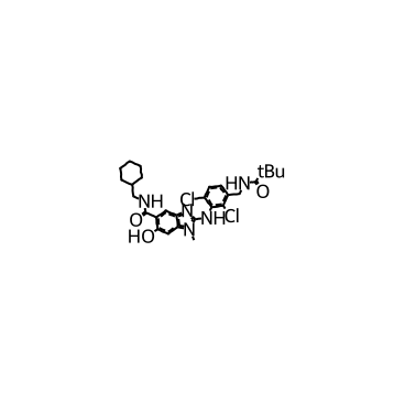 Cn1c(Nc2c(Cl)ccc(CNC(=O)C(C)(C)C)c2Cl)nc2cc(C(=O)NCC3CCCCC3)c(O)cc21